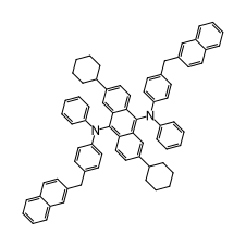 c1ccc(N(c2ccc(Cc3ccc4ccccc4c3)cc2)c2c3ccc(C4CCCCC4)cc3c(N(c3ccccc3)c3ccc(Cc4ccc5ccccc5c4)cc3)c3ccc(C4CCCCC4)cc23)cc1